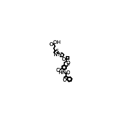 O=C(O)CCc1cnc(N2CC[C@H](OC3(C(=O)Cc4cc(Cl)c(NC(=O)c5coc6ccccc56)cc4F)CCC3)C2)s1